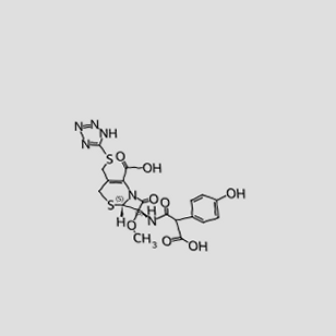 CO[C@@]1(NC(=O)C(C(=O)O)c2ccc(O)cc2)C(=O)N2C(C(=O)O)=C(CSc3nnn[nH]3)CS[C@H]21